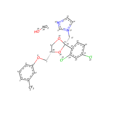 FC(F)(F)c1cccc(OC[C@@H]2CO[C@@](Cn3ccnc3)(c3ccc(Cl)cc3Cl)O2)c1.O=[N+]([O-])O